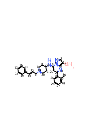 Bc1cnn2c(NC3CCN(C/C=C/c4ccccc4)CC3)cc(-c3ccccc3C)nc12